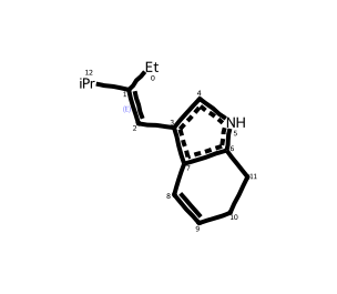 CC/C(=C\c1c[nH]c2c1C=CCC2)C(C)C